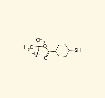 CC(C)(C)OC(=O)C1CCC(S)CC1